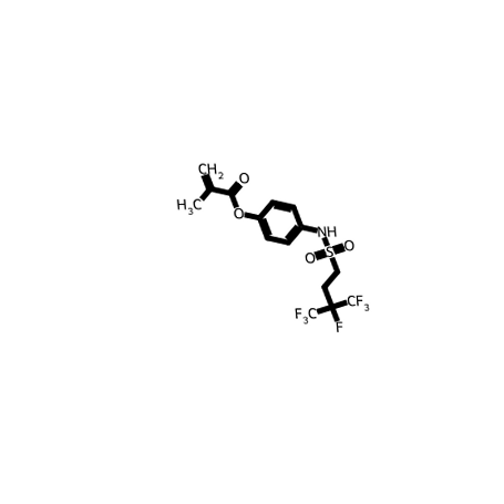 C=C(C)C(=O)Oc1ccc(NS(=O)(=O)CCC(F)(C(F)(F)F)C(F)(F)F)cc1